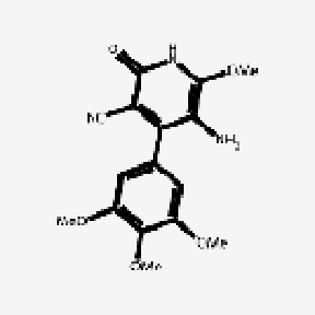 COc1cc(-c2c(N)c(OC)[nH]c(=O)c2C#N)cc(OC)c1OC